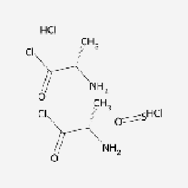 C[C@H](N)C(=O)Cl.C[C@H](N)C(=O)Cl.Cl.Cl.O=S